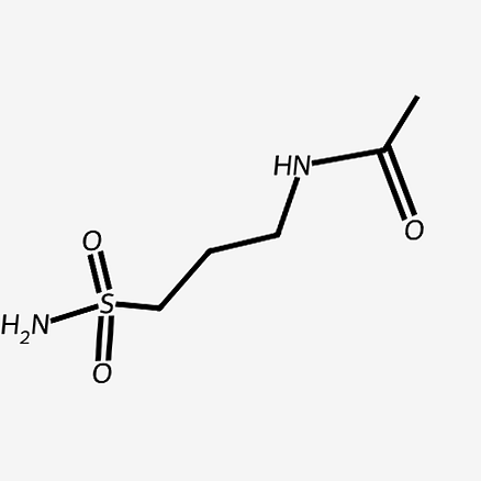 CC(=O)NCCCS(N)(=O)=O